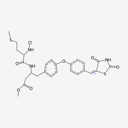 COC(=O)CC(Cc1ccc(Oc2ccc(/C=C3/SC(=O)NC3=O)cc2)cc1)NC(=O)C(CCSC)NCl